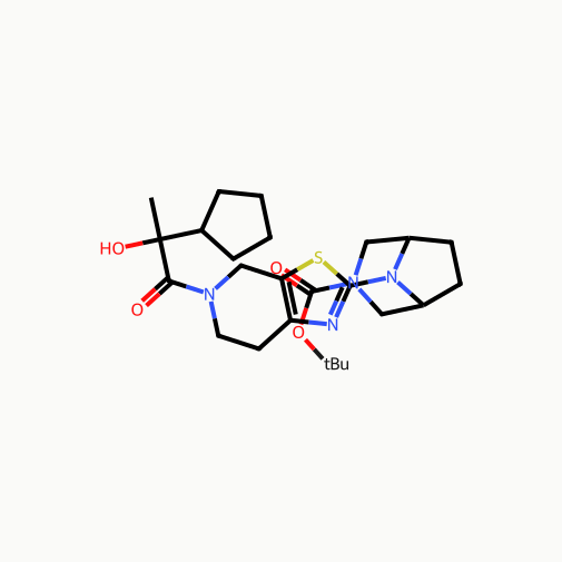 CC(C)(C)OC(=O)N1CC2CCC(C1)N2c1nc2c(s1)CN(C(=O)C(C)(O)C1CCCC1)CC2